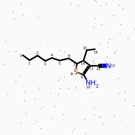 CCCCCCCC1SC(N)=C(C#N)C1CC